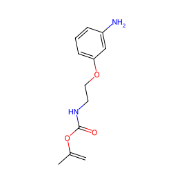 C=C(C)OC(=O)NCCOc1cccc(N)c1